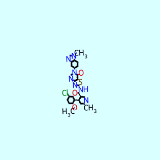 COc1ccc(Cl)cc1-c1cc(C)ncc1C(=O)Nc1nc2ncn(-c3ccc4c(c3)ncn4C)c(=O)c2s1